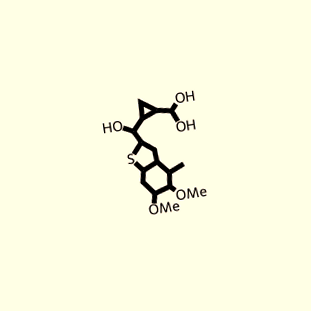 COC1CC2SC(C(O)C3CC3C(O)O)CC2C(C)C1OC